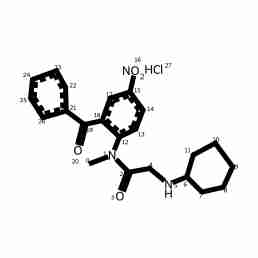 CN(C(=O)CNC1CCCCC1)c1ccc([N+](=O)[O-])cc1C(=O)c1ccccc1.Cl